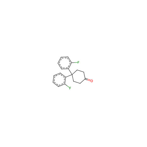 O=C1CCC(c2ccccc2F)(c2ccccc2F)CC1